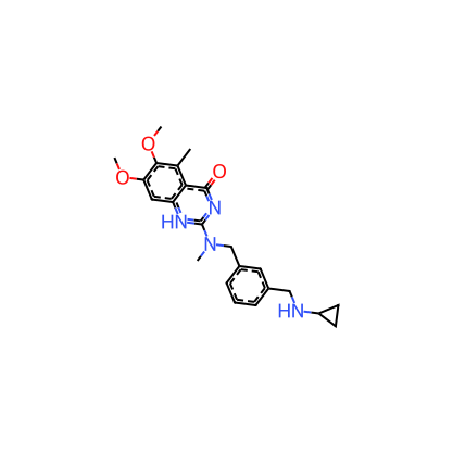 COc1cc2[nH]c(N(C)Cc3cccc(CNC4CC4)c3)nc(=O)c2c(C)c1OC